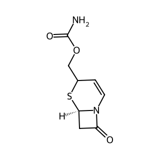 NC(=O)OCC1C=CN2C(=O)C[C@H]2S1